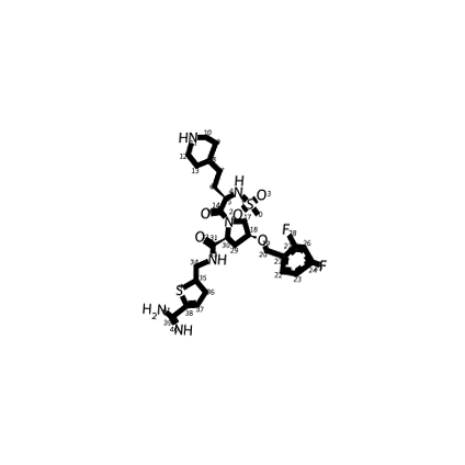 CS(=O)(=O)N[C@H](CCC1CCNCC1)C(=O)N1C[C@H](OCc2ccc(F)cc2F)C[C@H]1C(=O)NCC1CC=C(C(=N)N)S1